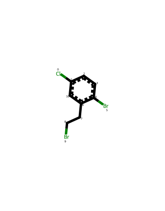 Clc1[c]cc(Br)c(CCBr)c1